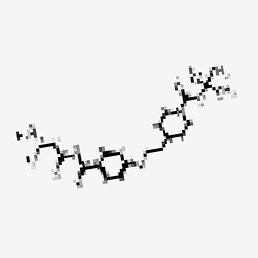 CC(C)(C)OC(=O)N1CCC(CCOc2ccc(C(=O)OC(=O)C[C@@H](N)O)cc2)CC1